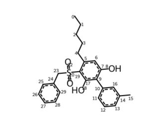 CCCCCc1cc(O)c(-c2cccc(C)c2)c(O)c1S(=O)(=O)Cc1ccccc1